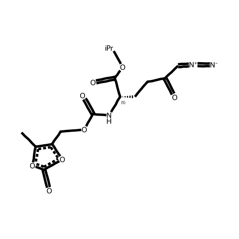 Cc1oc(=O)oc1COC(=O)N[C@@H](CCC(=O)C=[N+]=[N-])C(=O)OC(C)C